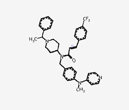 CC(c1ccccc1)N1CCC(N(Cc2ccc(N(C)c3ccncc3)cc2)C(=O)/C=C/c2ccc(C(F)(F)F)cc2)CC1